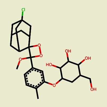 COC1(c2ccc(C)c(OC3CC(CO)C(O)C(O)C3O)c2)OOC12C1CC3CC2CC(Cl)(C3)C1